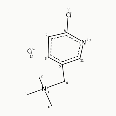 C[N+](C)(C)Cc1ccc(Cl)nc1.[Cl-]